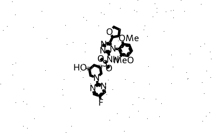 COc1cccc(OC)c1-n1c(NS(=O)(=O)[C@H]2C[C@@H](O)CN(c3ncc(F)cn3)C2)nnc1C1CCCO1